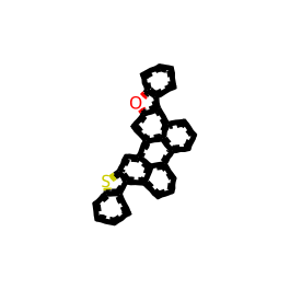 c1ccc2c(c1)oc1cc3c4cc5sc6ccccc6c5c5cccc(c6cccc(c12)c63)c45